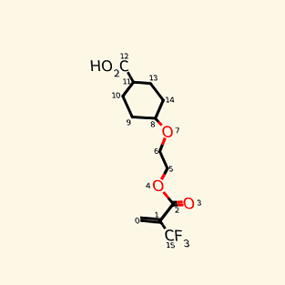 C=C(C(=O)OCCOC1CCC(C(=O)O)CC1)C(F)(F)F